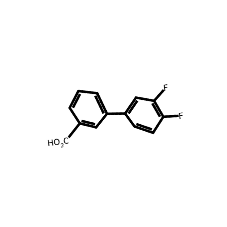 O=C(O)c1cccc(-c2ccc(F)c(F)c2)c1